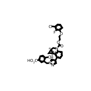 O=C(O)c1ccc(Cl)c(Cn2cc(-c3cccc4c3[C@H]3C[C@H]3CN4C(=O)OCCOc3cccc(Cl)c3F)cn2)c1